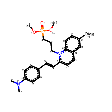 CCOP(=O)(CCC[n+]1c(C=Cc2ccc(N(C)C)cc2)ccc2cc(OC)ccc21)OCC